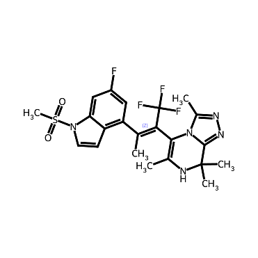 CC1=C(/C(=C(\C)c2cc(F)cc3c2ccn3S(C)(=O)=O)C(F)(F)F)n2c(C)nnc2C(C)(C)N1